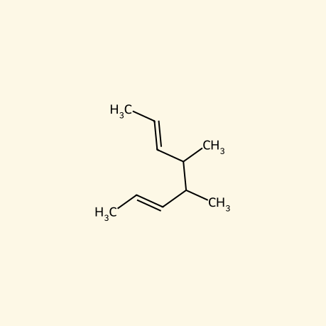 CC=CC(C)C(C)C=CC